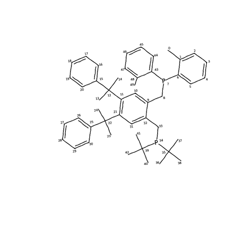 Cc1ccccc1P(Cc1cc(C(C)(C)c2ccccc2)c(C(C)(C)c2ccccc2)cc1CP(C(C)(C)C)C(C)(C)C)c1ccccc1C